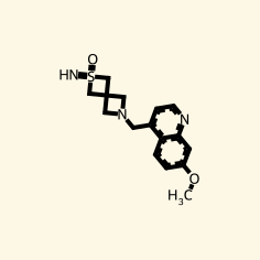 COc1ccc2c(CN3CC4(C3)CS(=N)(=O)C4)ccnc2c1